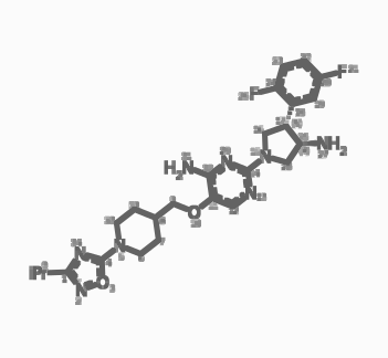 CC(C)c1noc(N2CCC(COc3cnc(N4C[C@H](c5cc(F)ccc5F)[C@@H](N)C4)nc3N)CC2)n1